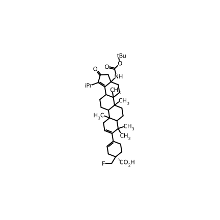 CC(C)C1=C2C3CCC4C5(C)CC=C(C6=CC[C@@](CF)(C(=O)O)CC6)C(C)(C)C5CCC4(C)C3(C)CCC2(NC(=O)OC(C)(C)C)CC1=O